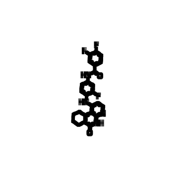 O=C(Nc1ccc(Nc2ccnc3[nH]c(=O)c4c(c23)CCCC4)c(F)c1)c1ccc(F)c(F)c1